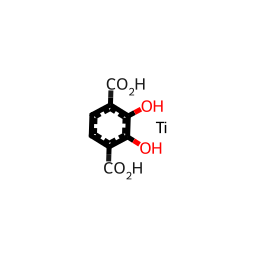 O=C(O)c1ccc(C(=O)O)c(O)c1O.[Ti]